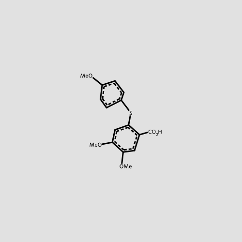 COc1ccc(Sc2cc(OC)c(OC)cc2C(=O)O)cc1